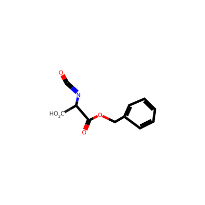 O=C=NC(C(=O)O)C(=O)OCc1ccccc1